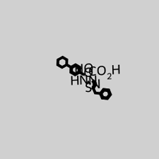 O=C(Nc1nnc(Cc2ccccc2)s1)c1ccc(C2CCCCC2)cc1.O=C(O)O